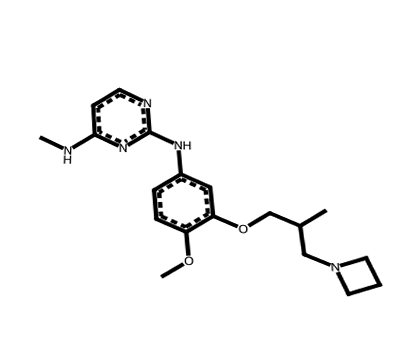 CNc1ccnc(Nc2ccc(OC)c(OCC(C)CN3CCC3)c2)n1